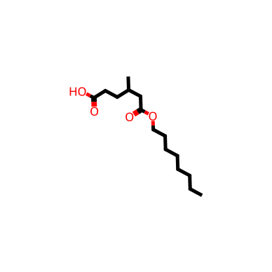 CCCCCCCCOC(=O)CC(C)CCC(=O)O